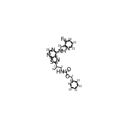 CC(CNC(=O)OCc1ccccc1)c1nc2c(NCc3ncccc3F)ncnc2s1